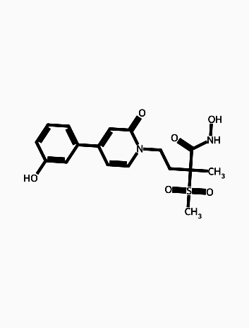 CC(CCn1ccc(-c2cccc(O)c2)cc1=O)(C(=O)NO)S(C)(=O)=O